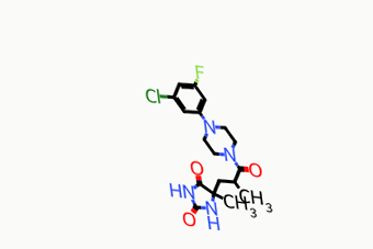 CC(CC1(C)NC(=O)NC1=O)C(=O)N1CCN(c2cc(F)cc(Cl)c2)CC1